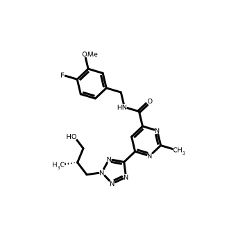 COc1cc(CNC(=O)c2cc(-c3nnn(C[C@H](C)CO)n3)nc(C)n2)ccc1F